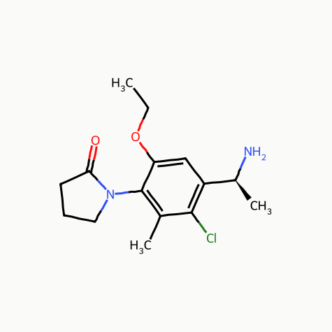 CCOc1cc([C@H](C)N)c(Cl)c(C)c1N1CCCC1=O